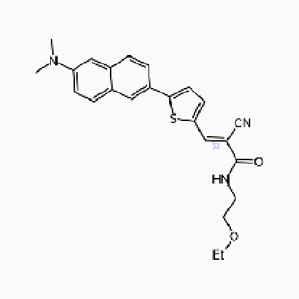 CCOCCNC(=O)/C(C#N)=C/c1ccc(-c2ccc3cc(N(C)C)ccc3c2)s1